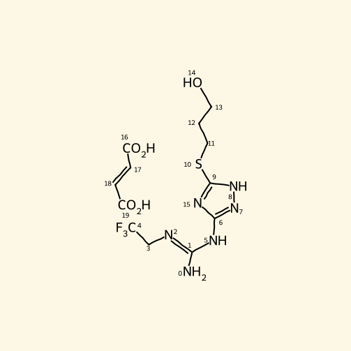 NC(=NCC(F)(F)F)Nc1n[nH]c(SCCCO)n1.O=C(O)C=CC(=O)O